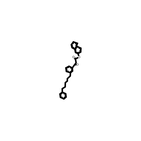 O=C(Oc1ccc2ccccc2c1)C1OC1c1cccc(CCCCCCc2ccccc2)c1